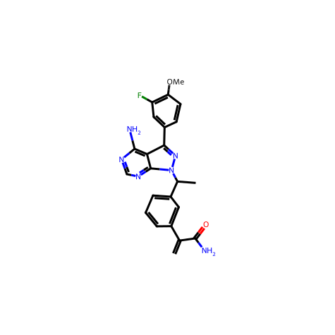 C=C(C(N)=O)c1cccc(C(C)n2nc(-c3ccc(OC)c(F)c3)c3c(N)ncnc32)c1